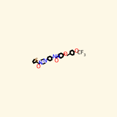 O=C(Nc1ccc(N2CCN(C(=O)c3cccs3)CC2)cc1)c1ccc(OCc2ccc(OC(F)(F)F)cc2)cc1